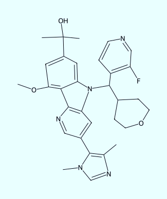 COc1cc(C(C)(C)O)cc2c1c1ncc(-c3c(C)ncn3C)cc1n2C(c1ccncc1F)C1CCOCC1